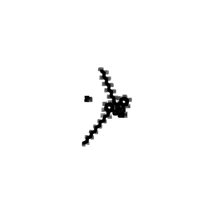 CCCCCCCCCCCCc1ccccc1OP(=O)(O)Oc1ccccc1CCCCCCCCCCCC.[Zn]